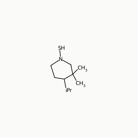 CC(C)C1CCN(S)CC1(C)C